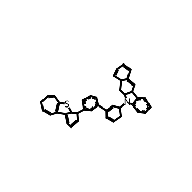 C1=CC2=CC3c4ccccc4N(C4C=C(c5cccc(C6C=CC=C7C8=C(C=CCC=C8)SC76)c5)C=CC4)C3CC2C=C1